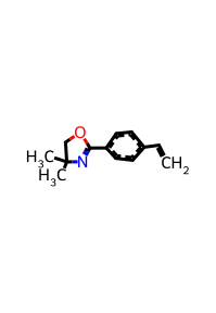 C=Cc1ccc(C2=NC(C)(C)CO2)cc1